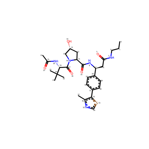 CCCNC(=O)C[C@H](NC(=O)C1C[C@@H](O)CN1C(=O)[C@@H](NC(C)=O)C(C)(C)C)c1ccc(-c2scnc2C)cc1